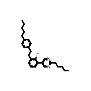 CCCCCc1ccc(CCc2cccc(-c3cnc(CCCCC)nc3)c2F)cc1